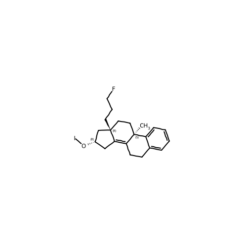 C[C@@]12CC[C@@]3(CCCF)C[C@@H](OI)CC3=C1CCc1ccccc12